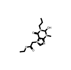 CCCN1C(=O)c2c(ncn2CC(=O)OCC)N(C)C1O